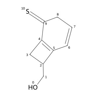 OCC1CC2=C1C=CCC2=S